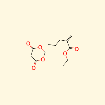 C=C(CCC)C(=O)OCC.O=C1CC(=O)OCO1